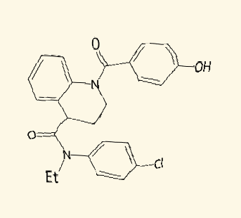 CCN(C(=O)C1CCN(C(=O)c2ccc(O)cc2)c2ccccc21)c1ccc(Cl)cc1